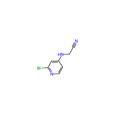 N#CCNc1ccnc(Br)c1